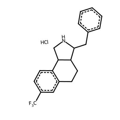 Cl.FC(F)(F)c1ccc2c(c1)CCC1C(Cc3ccccc3)NCC21